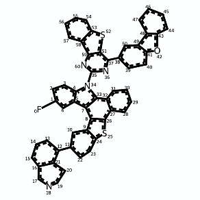 Fc1ccc2c(c1)c1c3c4cc(-c5cccc6cnccc56)ccc4sc3c3ccccc3c1n2-c1nc(-c2ccc3oc4ccccc4c3c2)c2sc3ccccc3c2n1